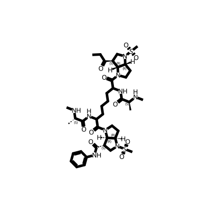 CCC(=O)[C@H]1CN(S(C)(=O)=O)[C@@H]2CCN(C(=O)C(CCCCC(NC(=O)[C@H](C)NC)C(=O)N3CC[C@@H]4[C@H]3[C@@H](C(=O)Nc3ccccc3)CN4S(C)(=O)=O)NC(=O)[C@H](C)NC)[C@H]12